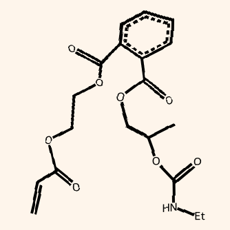 C=CC(=O)OCCOC(=O)c1ccccc1C(=O)OCC(C)OC(=O)NCC